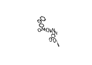 C#CCOc1cc2ncnc(N3CCN(N(C=O)c4ccc(Oc5ccccc5)cc4)CC3)c2cc1OC